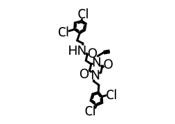 C#CCN1C(=O)CN(CCc2ccc(Cl)cc2Cl)C(=O)C1CC(=O)NCCc1ccc(Cl)cc1Cl